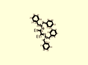 CCC(=N\N(Cc1ccccc1)Cc1ccccc1)/C(CC)=N/N(Cc1ccccc1)Cc1ccccc1